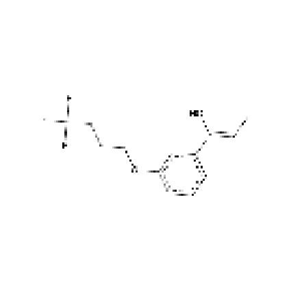 CC=C(O)c1cccc(OCCCC(C)(F)F)c1